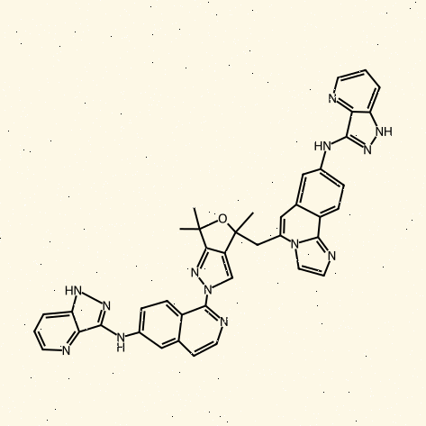 CC1(C)OC(C)(Cc2cc3cc(Nc4n[nH]c5cccnc45)ccc3c3nccn23)c2cn(-c3nccc4cc(Nc5n[nH]c6cccnc56)ccc34)nc21